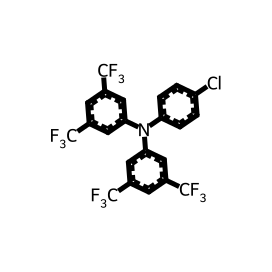 FC(F)(F)c1cc(N(c2ccc(Cl)cc2)c2cc(C(F)(F)F)cc(C(F)(F)F)c2)cc(C(F)(F)F)c1